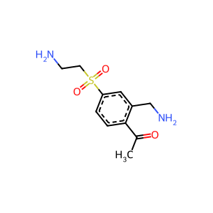 CC(=O)c1ccc(S(=O)(=O)CCN)cc1CN